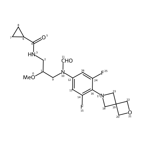 COC(CNC(=O)C1CC1)CN(C=O)c1cc(F)c(N2CC3(COC3)C2)c(F)c1